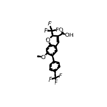 COc1cc2c(cc1-c1ccc(C(F)(F)F)cc1)C=C(C(=O)O)C(C(F)(F)F)O2